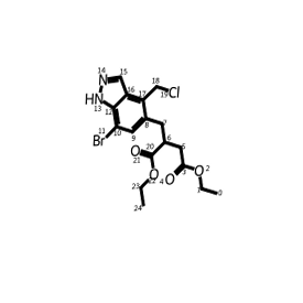 CCOC(=O)CC(Cc1cc(Br)c2[nH]ncc2c1CCl)C(=O)OCC